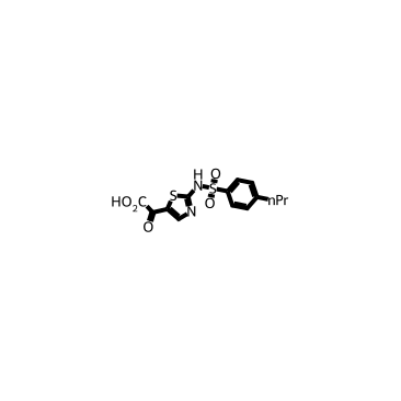 CCCc1ccc(S(=O)(=O)Nc2ncc(C(=O)C(=O)O)s2)cc1